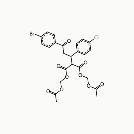 CC(=O)OCOC(=O)C(C(=O)OCOC(C)=O)C(CC(=O)c1ccc(Br)cc1)c1ccc(Cl)cc1